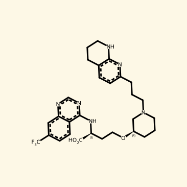 O=C(O)[C@H](CCO[C@@H]1CCCN(CCCc2ccc3c(n2)NCCC3)C1)Nc1ncnc2cc(C(F)(F)F)ccc12